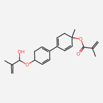 C=C(C)C(=O)OC1(C)C=CC(C2=CCC(OC(O)C(=C)C)C=C2)=CC1